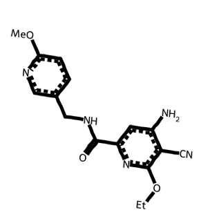 CCOc1nc(C(=O)NCc2ccc(OC)nc2)cc(N)c1C#N